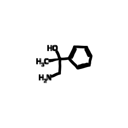 C[C@](O)(CN)c1ccccc1